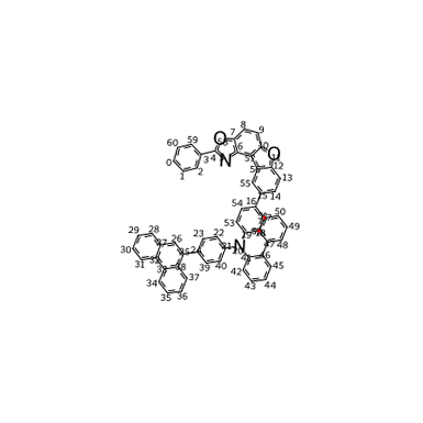 c1ccc(-c2nc3c(ccc4oc5ccc(-c6ccc(N(c7ccc(-c8cc9ccccc9c9ccccc89)cc7)c7ccccc7-c7ccccc7)cc6)cc5c43)o2)cc1